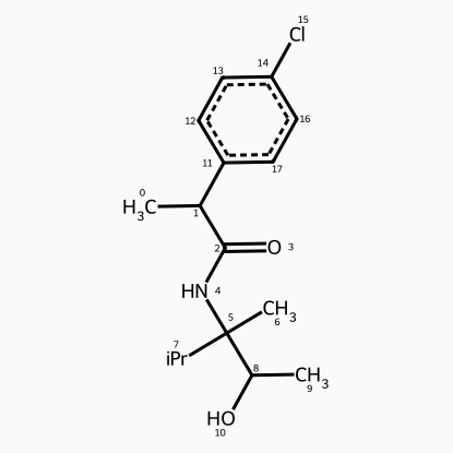 CC(C(=O)NC(C)(C(C)C)C(C)O)c1ccc(Cl)cc1